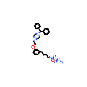 NONCCCCc1cccc(OCCN2CCN(C(c3ccccc3)c3ccccc3)CC2)c1